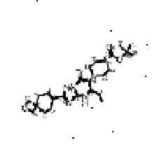 CCc1[nH]c2nc(C3=CCC4(CC3)COC4)nn2c(=O)c1N1CCN(C(=O)OC(C)(C)C)CC1